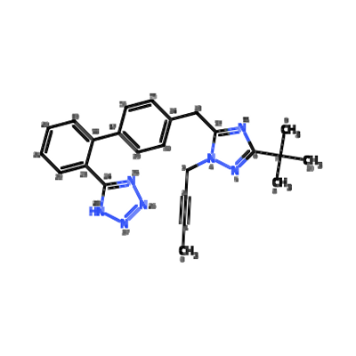 CC#CCn1nc(C(C)(C)C)nc1Cc1ccc(-c2ccccc2-c2nnn[nH]2)cc1